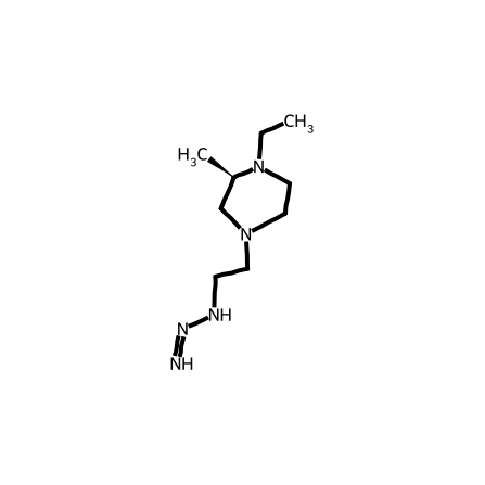 CCN1CCN(CCNN=N)C[C@H]1C